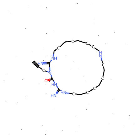 C#CCN1C(=N)NCCCCCCCCNCCCCCCCCNC(=N)NC1=O